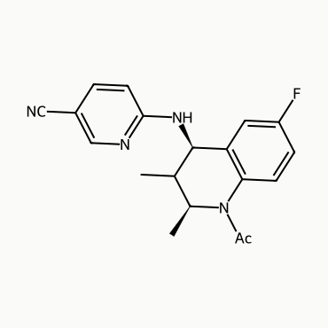 CC(=O)N1c2ccc(F)cc2[C@H](Nc2ccc(C#N)cn2)C(C)[C@@H]1C